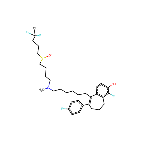 CN(CCCCCCC1=C(c2ccc(F)cc2)CCCc2c1ccc(O)c2F)CCCC[S+]([O-])CCCC(F)(F)C(F)(F)F